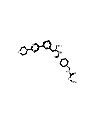 CC(C)(C)OC(=O)NC[C@H]1CC[C@H](C(=O)N[C@@H](Cc2cccc(-c3cnc(N4CCOCC4)nc3)c2)C(=O)O)CC1